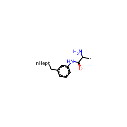 [CH2]C(N)C(=O)Nc1cccc(CCCCCCCC)c1